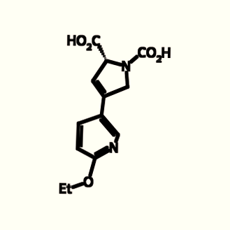 CCOc1ccc(C2=C[C@H](C(=O)O)N(C(=O)O)C2)cn1